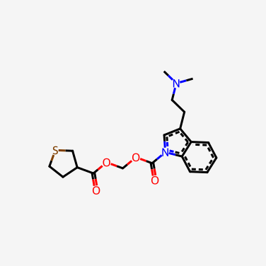 CN(C)CCc1cn(C(=O)OCOC(=O)C2CCSC2)c2ccccc12